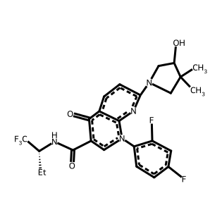 CC[C@@H](NC(=O)c1cn(-c2ccc(F)cc2F)c2nc(N3CC(O)C(C)(C)C3)ccc2c1=O)C(F)(F)F